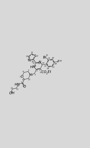 CCOC(=O)C1=C(CN2CCOC(C(=O)NCCO)C2)NC(c2nccs2)=NC1c1ccc(F)cc1Br